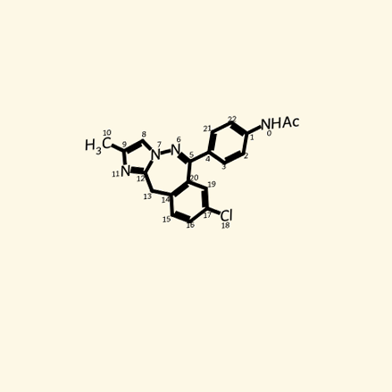 CC(=O)Nc1ccc(C2=Nn3cc(C)nc3Cc3ccc(Cl)cc32)cc1